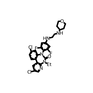 CCN1C(=O)N(c2c(F)cc(NCCNC3CCOCC3)cc2F)c2cc(Cl)ccc2-c2cc(Cl)cnc21